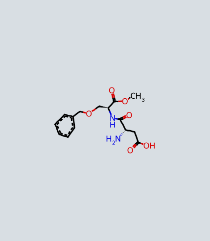 COC(=O)[C@H](COCc1ccccc1)NC(=O)[C@@H](N)CC(=O)O